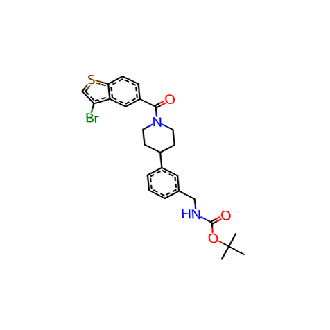 CC(C)(C)OC(=O)NCc1cccc(C2CCN(C(=O)c3ccc4scc(Br)c4c3)CC2)c1